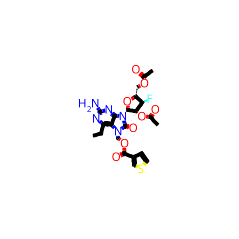 CCc1nc(N)nc2c1n(COC(=O)c1ccsc1)c(=O)n2[C@@H]1O[C@H](COC(C)=O)[C@@H](F)[C@H]1OC(C)=O